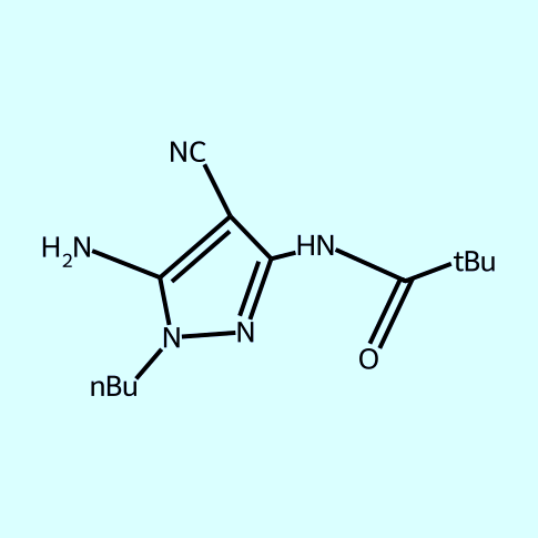 CCCCn1nc(NC(=O)C(C)(C)C)c(C#N)c1N